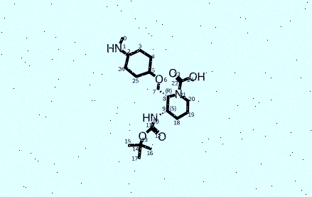 CNC1CCC(OC[C@H]2[C@@H](NC(=O)OC(C)(C)C)CCCN2C(=O)O)CC1